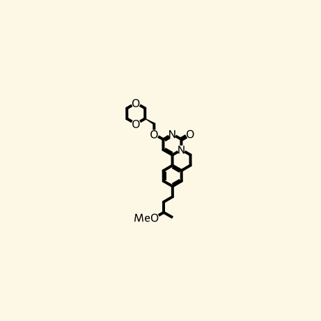 COC(C)CCc1ccc2c(c1)CCn1c-2cc(OC[C@@H]2COCCO2)nc1=O